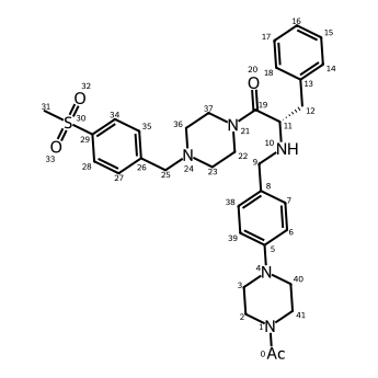 CC(=O)N1CCN(c2ccc(CN[C@@H](Cc3ccccc3)C(=O)N3CCN(Cc4ccc(S(C)(=O)=O)cc4)CC3)cc2)CC1